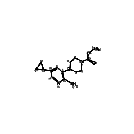 CC(C)(C)OC(=O)N1CCN(c2cc(C3CC3)cnc2N)CC1